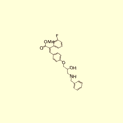 COC(=O)C(=Cc1ccc(OCC(O)CNCc2ccccc2)cc1)c1cccc(F)c1